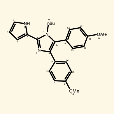 CCCCn1c(-c2ccc[nH]2)nc(-c2ccc(OC)cc2)c1-c1ccc(OC)cc1